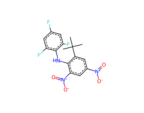 CC(C)(C)c1cc([N+](=O)[O-])cc([N+](=O)[O-])c1Nc1c(F)cc(F)cc1F